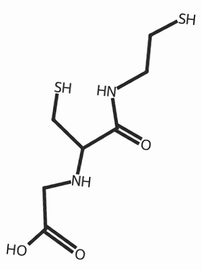 O=C(O)CNC(CS)C(=O)NCCS